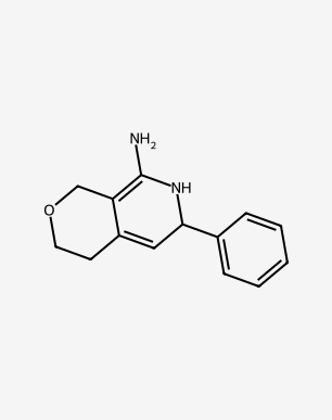 NC1=C2COCCC2=CC(c2ccccc2)N1